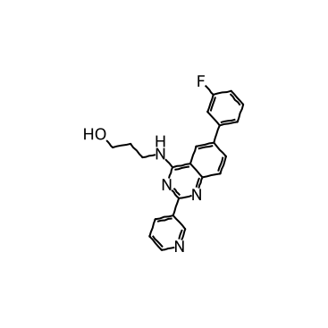 OCCCNc1nc(-c2cccnc2)nc2ccc(-c3cccc(F)c3)cc12